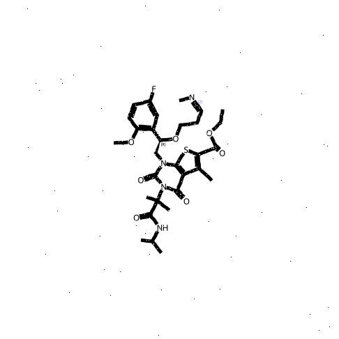 CCOC(=O)c1sc2c(c1C)c(=O)n(C(C)(C)C(=O)NC(C)C)c(=O)n2C[C@H](OCC/C=N\C)c1cc(F)ccc1OC